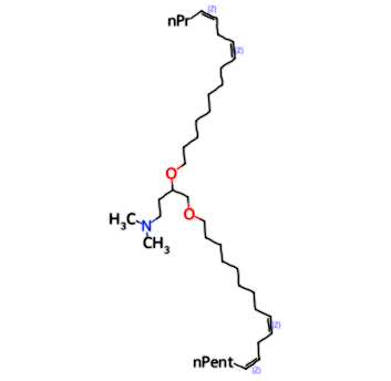 CCC/C=C\C/C=C\CCCCCCCCOC(CCN(C)C)COCCCCCCCC/C=C\C/C=C\CCCCC